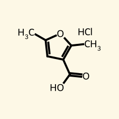 Cc1cc(C(=O)O)c(C)o1.Cl